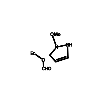 CCOC=O.CON1CC=CN1